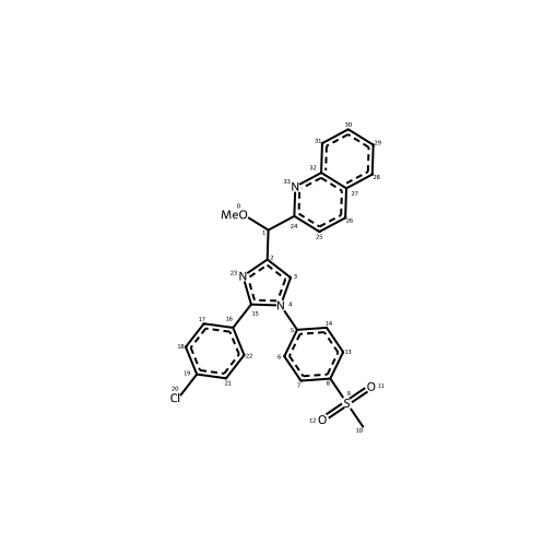 COC(c1cn(-c2ccc(S(C)(=O)=O)cc2)c(-c2ccc(Cl)cc2)n1)c1ccc2ccccc2n1